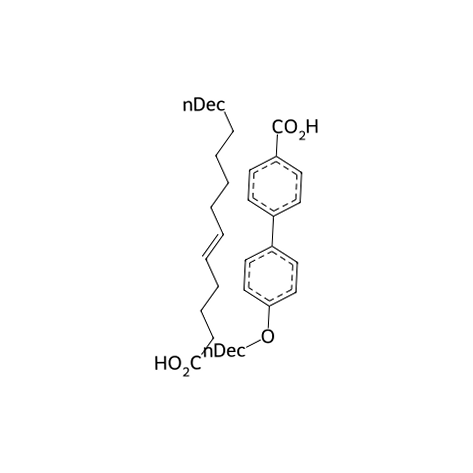 CCCCCCCCCCCCCCC=CCCCC(=O)O.CCCCCCCCCCOc1ccc(-c2ccc(C(=O)O)cc2)cc1